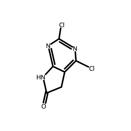 O=C1Cc2c(Cl)nc(Cl)nc2N1